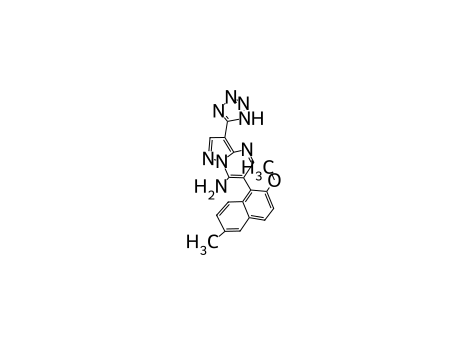 COc1ccc2cc(C)ccc2c1-c1cnc2c(-c3nnn[nH]3)cnn2c1N